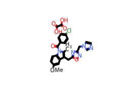 COc1ccc2c(c1)c(Cc1nc(Cn3ccnc3)no1)c(C)n2C(=O)c1ccc(Cl)cc1.O=C(O)C(=O)O